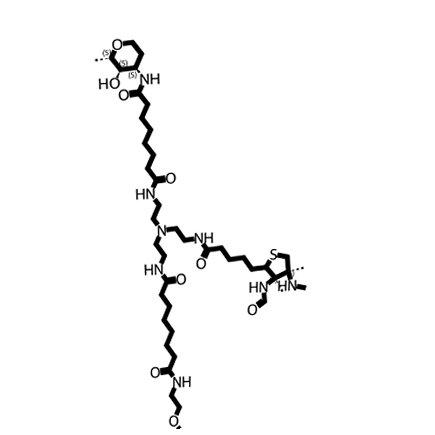 CN[C@]1(C)CSC(CCCCC(=O)NCCN(CCNC(=O)CCCCCCC(=O)NCCOC)CCNC(=O)CCCCCCC(=O)N[C@H]2CCO[C@@H](C)[C@H]2O)[C@]1(C)NC=O